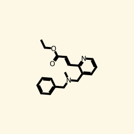 CCOC(=O)C=Cc1ncccc1CN(C)Cc1ccccc1